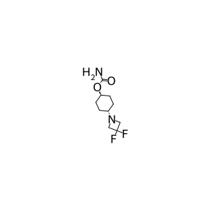 NC(=O)O[C@H]1CC[C@H](N2CC(F)(F)C2)CC1